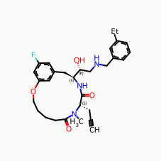 C#CC[C@H]1C(=O)N[C@H]([C@H](O)CNCc2cccc(CC)c2)Cc2cc(F)cc(c2)OCCCCC(=O)N1C